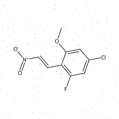 COc1cc(Cl)cc(F)c1/C=C/[N+](=O)[O-]